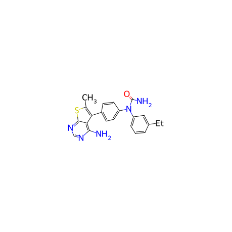 CCc1cccc(N(C(N)=O)c2ccc(-c3c(C)sc4ncnc(N)c34)cc2)c1